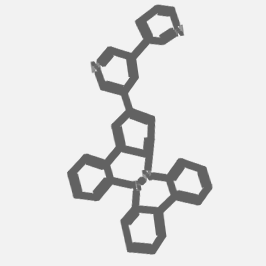 c1cncc(-c2cncc(-c3ccc4c(c3)-c3ccccc3B3c5ccccc5-c5ccccc5N34)c2)c1